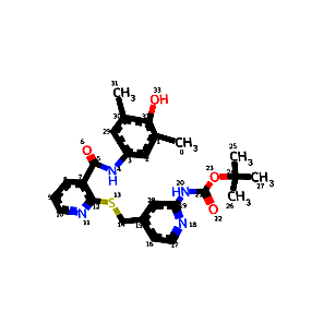 Cc1cc(NC(=O)c2cccnc2SCc2ccnc(NC(=O)OC(C)(C)C)c2)cc(C)c1O